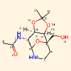 CC(=O)N[C@H]1C2NCC[C@](CO)(O2)[C@@H]2OC(C)(C)O[C@@H]21